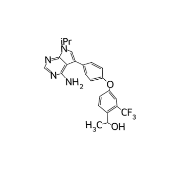 CC(O)c1ccc(Oc2ccc(-c3cn(C(C)C)c4ncnc(N)c34)cc2)cc1C(F)(F)F